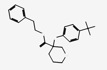 O=C(NCCc1ccccc1)C1(Oc2ccc(C(F)(F)F)cc2)CCCNC1